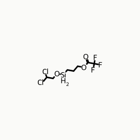 O=C(OCCC[SiH2]OCC(Cl)Cl)C(F)(F)F